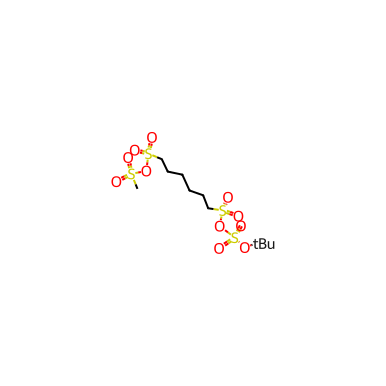 CC(C)(C)OS(=O)(=O)OS(=O)(=O)CCCCCCS(=O)(=O)OS(C)(=O)=O